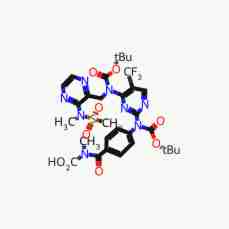 CN(C(=O)O)C(=O)c1ccc(N(C(=O)OC(C)(C)C)c2ncc(C(F)(F)F)c(N(Cc3nccnc3N(C)S(C)(=O)=O)C(=O)OC(C)(C)C)n2)cc1